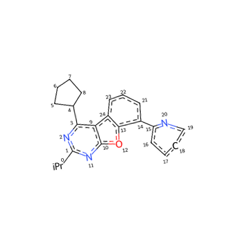 CC(C)c1nc(C2CCCC2)c2c(n1)oc1c(-c3ccccn3)cccc12